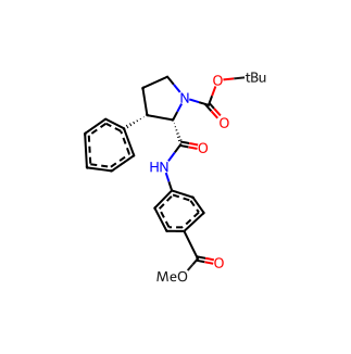 COC(=O)c1ccc(NC(=O)[C@@H]2[C@H](c3ccccc3)CCN2C(=O)OC(C)(C)C)cc1